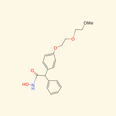 COCCOCCOc1ccc(C(C(=O)NO)c2ccccc2)cc1